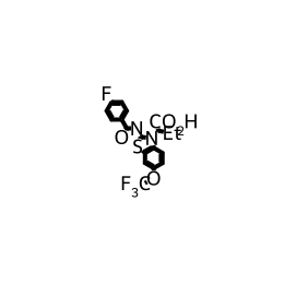 CCC(C(=O)O)n1c(=NC(=O)c2ccc(F)cc2)sc2cc(OC(F)(F)F)ccc21